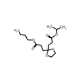 CCCCOC(=O)CCC1(CCC(=O)OC(C)C)OCCO1